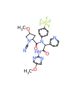 COc1cnc(NC(=O)C(c2cccnc2)N(C(=O)C2CC(OC)CN2C#N)c2ccc(S(F)(F)(F)(F)F)cc2)nc1